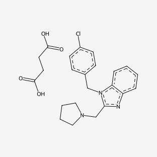 Clc1ccc(Cn2c(CN3CCCC3)nc3ccccc32)cc1.O=C(O)CCC(=O)O